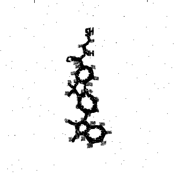 Cc1c(-c2cc[n+]3c(c2)C(C)(C)c2cc(C(=O)NCCS)ccc2-3)c2ccccc2n1C